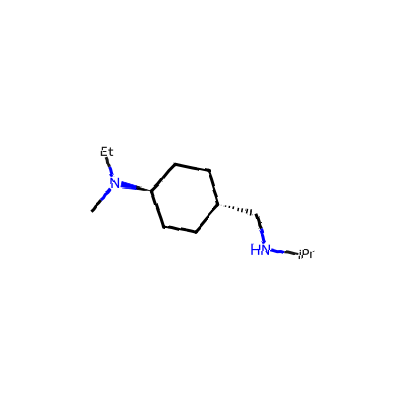 CCN(C)[C@H]1CC[C@H](CNC(C)C)CC1